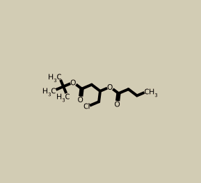 CCCC(=O)OC(CCl)CC(=O)OC(C)(C)C